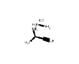 C#CC(C)N.Cl.NN